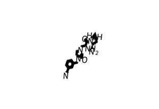 N#Cc1cccc(CN2C(=O)C3CC2CN3CC(N)C(=O)N2[C@H](C#N)C[C@@H]3C[C@@H]32)c1